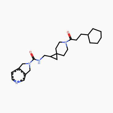 O=C(CCC1CCCCC1)N1CCC2(CC1)CC2CNC(=O)N1Cc2ccncc2C1